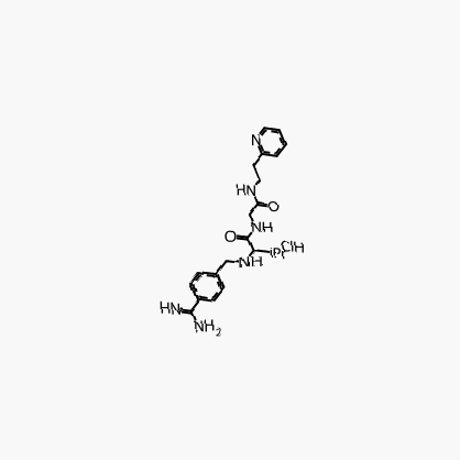 CC(C)C(NCc1ccc(C(=N)N)cc1)C(=O)NCC(=O)NCCc1ccccn1.Cl